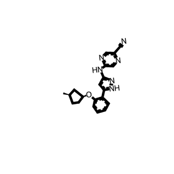 C[C@@H]1CC[C@H](Oc2ccccc2-c2cc(Nc3cnc(C#N)cn3)n[nH]2)C1